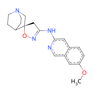 COc1ccc2cc(NC3=NO[C@@]4(C3)CN3CCC4CC3)ncc2c1